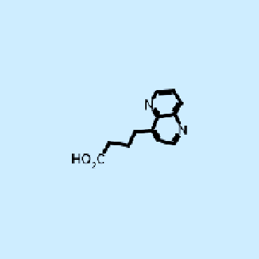 O=C(O)CCCc1ccnc2cccnc12